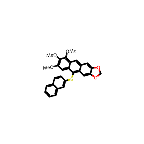 COc1cc2c(Sc3ccc4ccccc4c3)c3cc4c(cc3cc2c(OC)c1OC)OCO4